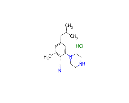 Cc1cc(CC(C)C)cc(N2CCNCC2)c1C#N.Cl